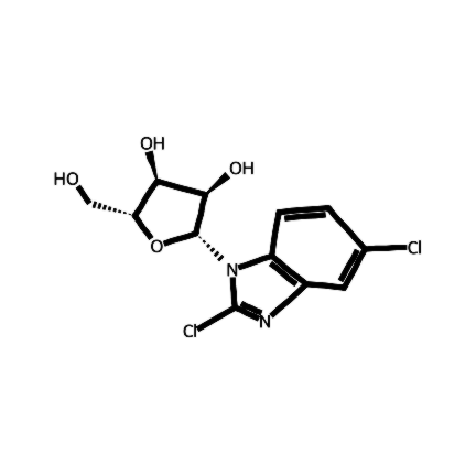 OC[C@H]1O[C@@H](n2c(Cl)nc3cc(Cl)ccc32)[C@H](O)[C@@H]1O